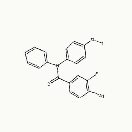 O=C(c1ccc(O)c(F)c1)N(c1ccccc1)c1ccc(OI)cc1